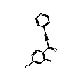 O=C(C#Cc1ccccc1)c1ccc(Cl)cc1F